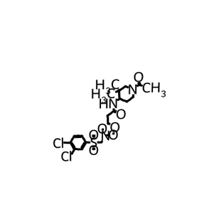 CC(=O)N1CCC(NC(=O)CC2OON(CS(=O)(=O)c3ccc(Cl)c(Cl)c3)O2)C(C)(C)C1